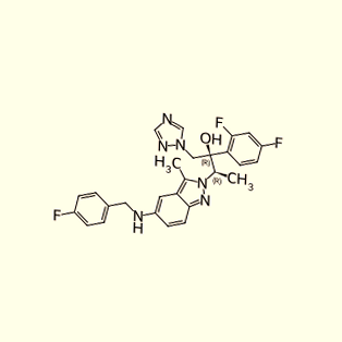 Cc1c2cc(NCc3ccc(F)cc3)ccc2nn1[C@H](C)[C@](O)(Cn1cncn1)c1ccc(F)cc1F